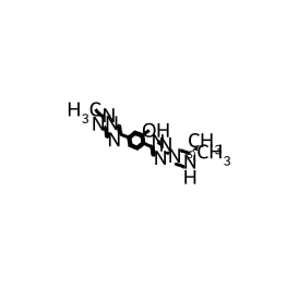 Cc1nc2cnc(-c3ccc(-c4cnc(N5CCN[C@@H](C(C)C)C5)nn4)c(O)c3)cn2n1